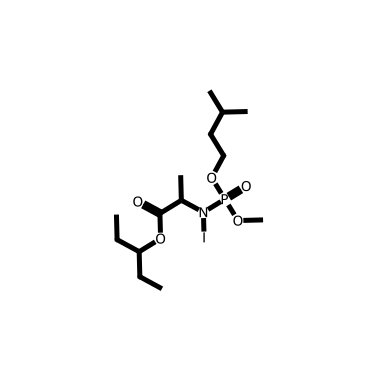 CCC(CC)OC(=O)C(C)N(I)P(=O)(OC)OCCC(C)C